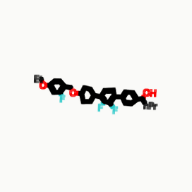 CCCC(O)c1ccc(-c2ccc(C3CCC(OCc4ccc(OCC)cc4F)CC3)c(F)c2F)cc1